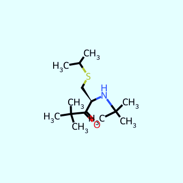 CC(C)SC[C@@H](NC(C)(C)C)C(=O)C(C)(C)C